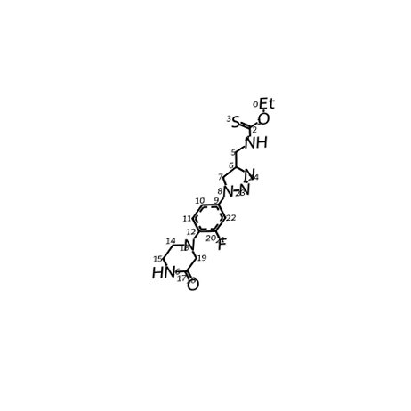 CCOC(=S)NCC1CN(c2ccc(N3CCNC(=O)C3)c(F)c2)N=N1